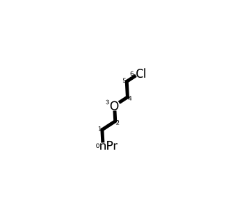 CCCCCOCCCl